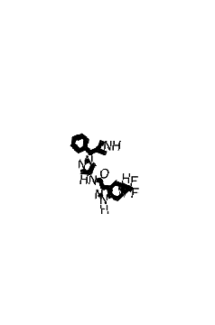 C[C@@]12Cc3[nH]nc(C(=O)Nc4cnn(C(c5ccccc5)C5CNC5)c4)c3C[C@@H]1C2(F)F